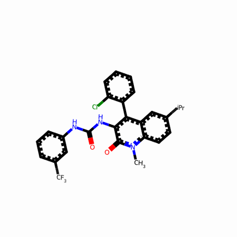 CC(C)c1ccc2c(c1)c(-c1ccccc1Cl)c(NC(=O)Nc1cccc(C(F)(F)F)c1)c(=O)n2C